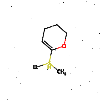 CC[SH](C)C1=CCCCO1